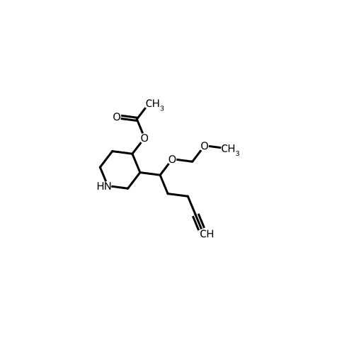 C#CCCC(OCOC)C1CNCCC1OC(C)=O